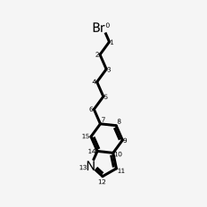 BrCCCCCCC1C=CC2=CC=NC2=C1